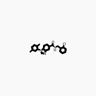 Cc1ccc(C)c(-n2cnc3cc(C(=O)NCc4ccccc4Cl)ccc32)c1